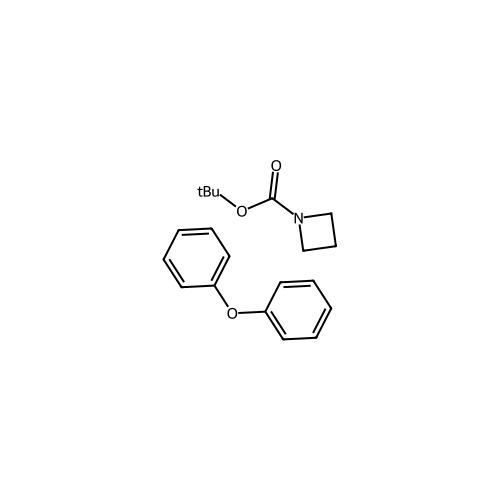 CC(C)(C)OC(=O)N1CCC1.c1ccc(Oc2ccccc2)cc1